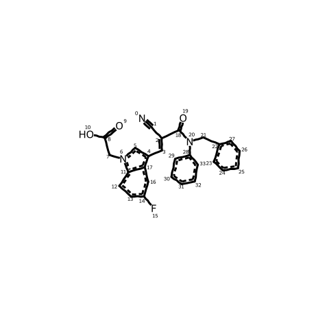 N#C/C(=C\c1cn(CC(=O)O)c2ccc(F)cc12)C(=O)N(Cc1ccccc1)c1ccccc1